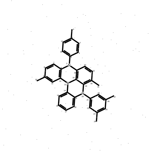 Cc1ccc(N2c3ccc(C)cc3B3c4ccccc4N(c4cc(C)cc(C)c4)c4c(C)ccc2c43)cc1